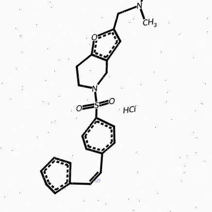 CN(C)Cc1cc2c(o1)CCN(S(=O)(=O)c1ccc(/C=C\c3ccccc3)cc1)C2.Cl